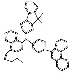 CC1CC=Cc2c1cc(N(c1ccc(-c3cc4ccccc4c4ccccc34)cc1)c1ccc3c(c1)C(C)(C)c1ccccc1-3)c1ccccc21